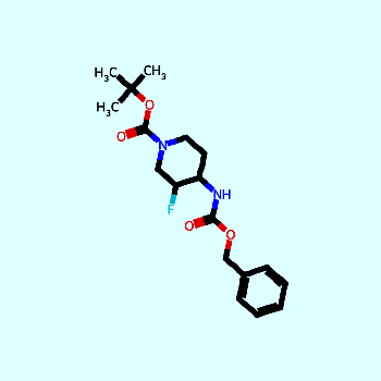 CC(C)(C)OC(=O)N1CCC(NC(=O)OCc2ccccc2)C(F)C1